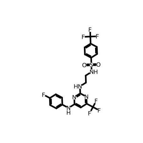 O=S(=O)(NCCNc1nc(Nc2ccc(F)cc2)cc(C(F)(F)F)n1)c1ccc(C(F)(F)F)cc1